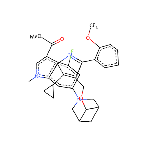 COC(=O)c1cn(C)c2cc(N3CC4CC(C3)C4OCC3=C(C4CC4)CN=C3c3ccccc3OC(F)(F)F)cc(F)c12